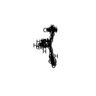 Cc1ncsc1-c1ccc([C@H](C)NC(=O)[C@@H]2C[C@H](O)CN2C(=O)[C@@H](NC(=O)COCC(C)(COCCOCCOCCNc2cc3c(cc2F)C(=O)N(C2CCC(=O)N(C)C2=O)C3=O)COCCOCCOCCOC(=O)C[C@@H]2N=C(c3ccc(Cl)cc3)c3c(sc(C)c3C)-n3c(C)nnc32)C(C)(C)C)cc1